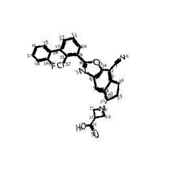 N#Cc1c2c(cc3nc(-c4cccc(-c5ccccc5F)c4Cl)oc13)[C@@H](N1CC(C(=O)O)C1)CC2